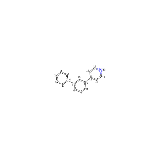 [c]1cccc(-c2cccc(-c3ccncc3)c2)c1